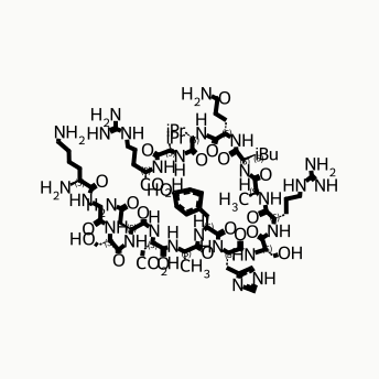 CC[C@H](C)[C@H](NC(=O)[C@H](C)NC(=O)[C@H](CCCNC(=N)N)NC(=O)[C@H](CO)NC(=O)[C@H](Cc1c[nH]cn1)NC(=O)[C@H](Cc1ccc(O)cc1)NC(=O)[C@H](C)NC(=O)[C@H](CC(=O)O)NC(=O)[C@H](CC(N)=O)NC(=O)[C@H](CO)NC(=O)CNC(=O)[C@@H](N)CCCCN)C(=O)N[C@@H](CCC(N)=O)C(=O)N[C@H](C(=O)N[C@H](C(=O)N[C@@H](CCCNC(=N)N)C(=O)O)C(C)C)C(C)C